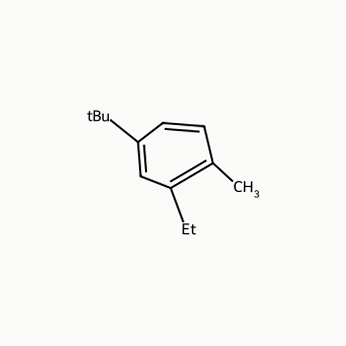 CCc1cc(C(C)(C)C)ccc1C